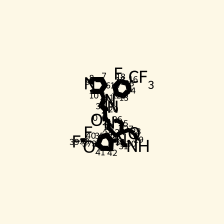 O=C(c1cc(-c2cccnc2)n(-c2ccc(C(F)(F)F)c(F)c2)n1)N1CCC2(CC1)COCNCN2c1ccc(OC(F)F)cc1